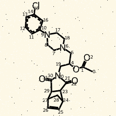 CC(=O)OC(CN1CCN(c2cccc(Cl)c2)CC1)CN1C(=O)C2C3C=CC(C3)C2C1=O